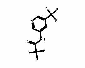 O=C(Nc1cncc(C(F)(F)F)c1)C(F)(F)F